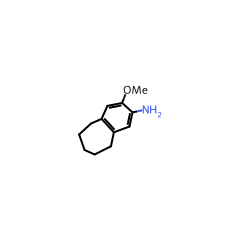 COc1cc2c(cc1N)CCCCC2